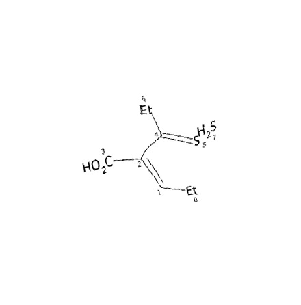 CCC=C(C(=O)O)C(=S)CC.S